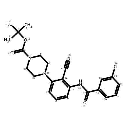 CC(C)(C)OC(=O)N1CCN(c2cccc(NC(=O)c3cccc(Cl)c3)c2C#N)CC1